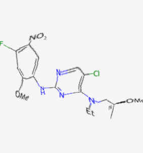 CCN(C[C@H](C)OC)c1nc(Nc2cc([N+](=O)[O-])c(F)cc2OC)ncc1Cl